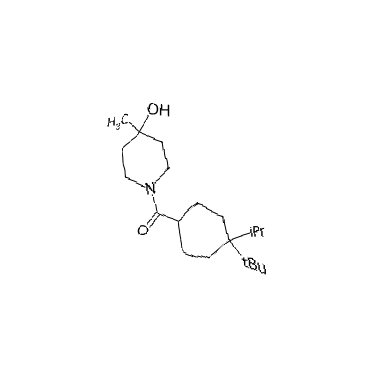 CC(C)C1(C(C)(C)C)CCC(C(=O)N2CCC(C)(O)CC2)CC1